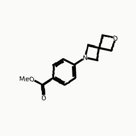 COC(=O)c1ccc(N2CC3(COC3)C2)cc1